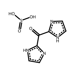 O=C(c1ncc[nH]1)c1ncc[nH]1.O=S(O)O